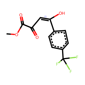 COC(=O)C(=O)/C=C(/O)c1ccc(C(F)(F)F)cc1